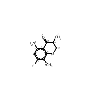 Cc1c(F)cc(N)c2c1SCC(C)C2=O